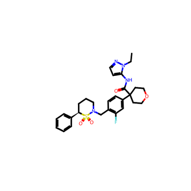 CCn1nccc1NC(=O)C1(c2ccc(CN3CCC[C@H](c4ccccc4)S3(=O)=O)c(F)c2)CCOCC1